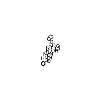 O=C(Nc1ncnc2c1ncn2[C@@H]1O[C@H](COC2CCCCO2)[C@@H](OC2CCCCO2)[C@@H]1O)c1ccccc1